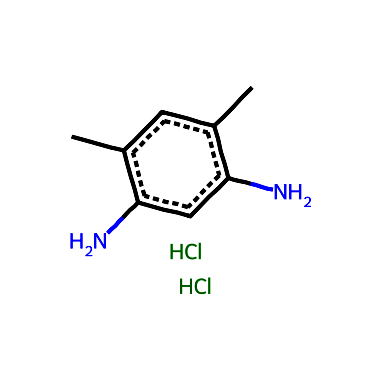 Cc1cc(C)c(N)cc1N.Cl.Cl